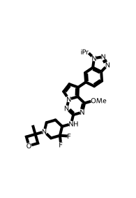 COc1nc(NC2CCN(C3(C)COC3)CC2(F)F)nn2ccc(-c3ccc4nnn(C(C)C)c4c3)c12